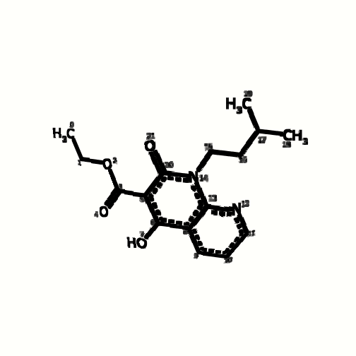 CCOC(=O)c1c(O)c2cccnc2n(CCC(C)C)c1=O